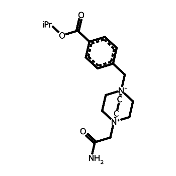 CC(C)OC(=O)c1ccc(C[N+]23CC[N+](CC(N)=O)(CC2)CC3)cc1